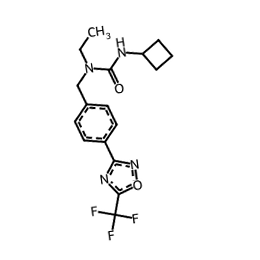 CCN(Cc1ccc(-c2noc(C(F)(F)F)n2)cc1)C(=O)NC1CCC1